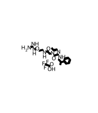 Cc1cnc(NCC(C)c2ccccc2)c(=O)n1CC(=O)NCCONC(=N)N.O=C(O)C(F)(F)F